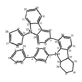 c1ccc(-c2ccc(N3c4c(-c5ccc6c(c5)c5ccccc5n6-c5ccccc5)cccc4C4CCCCC43)cc2)cc1